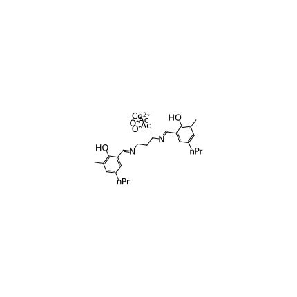 CC(=O)[O-].CC(=O)[O-].CCCc1cc(C)c(O)c(C=NCCCN=Cc2cc(CCC)cc(C)c2O)c1.[Co+2]